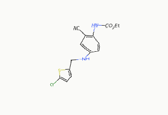 CCOC(=O)Nc1ccc(NCc2ccc(Cl)s2)cc1C#N